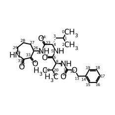 CC(C)C[C@H](NC(=O)[C@@H](NC(=O)OCc1ccccc1)C(C)C)C(=O)NC1CCCNC(=O)C1=O